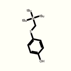 CC(C)(C)[Si](CSc1ccc(O)cc1)(C(C)(C)C)C(C)(C)C